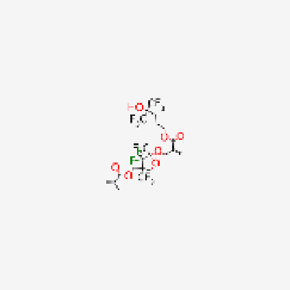 C=C(C)C(=O)OCC1(C(F)(F)F)COC(OCC(=C)C(=O)OCCCC(O)(C(F)(F)F)C(F)(F)F)(C(F)(F)F)C1(F)F